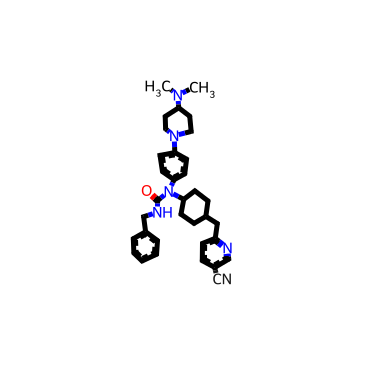 CN(C)C1CCN(c2ccc(N(C(=O)NCc3ccccc3)C3CCC(Cc4ccc(C#N)cn4)CC3)cc2)CC1